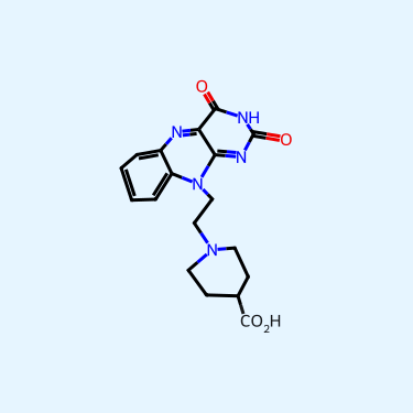 O=C(O)C1CCN(CCn2c3nc(=O)[nH]c(=O)c-3nc3ccccc32)CC1